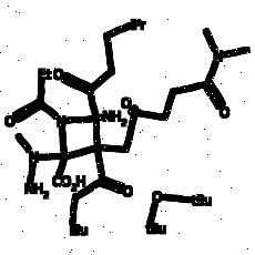 CC(C)(C)OC(C)(C)C.CCC(=O)N1C(N)(C(=O)CCC(C)C)C(CC(=O)CCC(=O)N(C)C)(C(=O)CC(C)CC)C1(C(=O)O)N(C)N